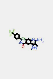 CN(Cc1ccc(C(F)(F)F)cc1)C(=O)c1cc2c(cc1Cl)nc(N)c1cnn(C)c12